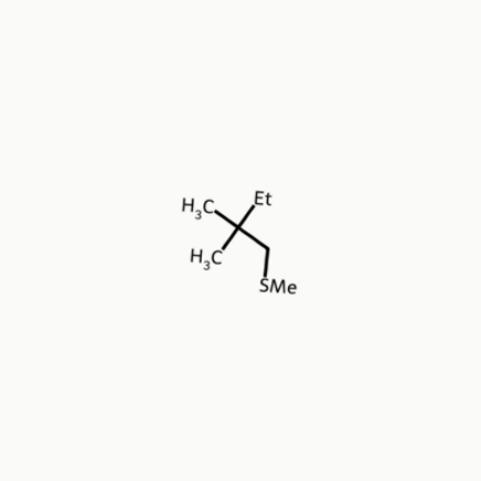 CCC(C)(C)CSC